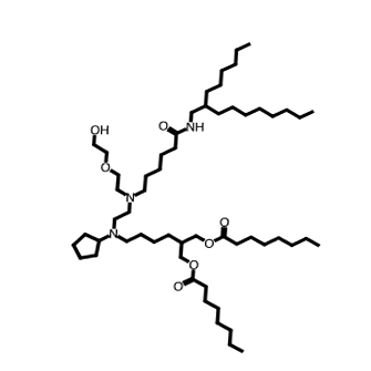 CCCCCCCCC(CCCCCC)CNC(=O)CCCCCN(CCOCCO)CCN(CCCCC(COC(=O)CCCCCCC)COC(=O)CCCCCCC)C1CCCC1